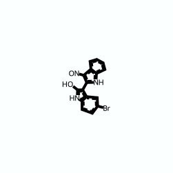 O=Nc1c(-c2c(O)[nH]c3ccc(Br)cc23)[nH]c2ccccc12